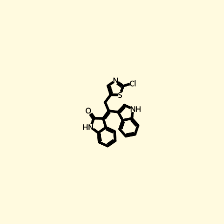 O=C1Nc2ccccc2C1=C(Cc1cnc(Cl)s1)c1c[nH]c2ccccc12